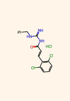 CC(C)CNC(=N)NC(=O)C=Cc1c(Cl)cccc1Cl.Cl